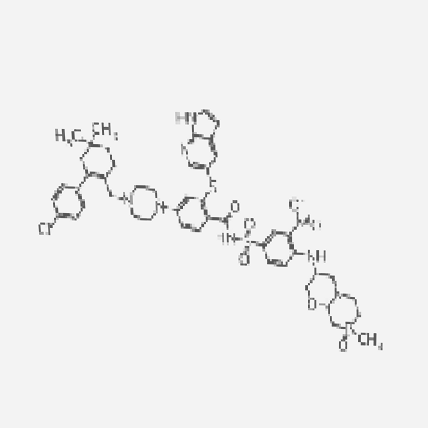 CC1(C)CCC(CN2CCN(c3ccc(C(=O)NS(=O)(=O)c4ccc(NC(CO)CN5CCP(C)(=O)CC5)c([N+](=O)[O-])c4)c(Sc4cnc5[nH]ccc5c4)c3)CC2)=C(c2ccc(Cl)cc2)C1